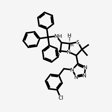 CC1(C)S[C@@H]2C(NC(c3ccccc3)(c3ccccc3)c3ccccc3)C(=O)N2C1c1nnnn1Cc1cccc(Cl)c1